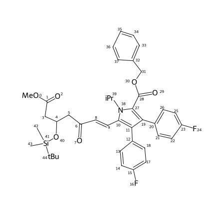 COC(=O)CC(CC(=O)/C=C/c1c(-c2ccc(F)cc2)c(-c2ccc(F)cc2)c(C(=O)OCc2ccccc2)n1C(C)C)O[Si](C)(C)C(C)(C)C